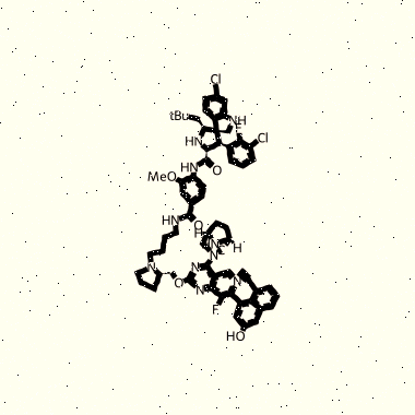 C#Cc1cccc2cc(O)cc(-c3ncc4c(N5C[C@H]6CC[C@@H](C5)N6)nc(OC[C@@H]5CCCN5CCCCNC(=O)c5ccc(NC(=O)[C@@H]6N[C@@H](CC(C)(C)C)[C@@]7(CNc8cc(Cl)ccc87)[C@H]6c6cccc(Cl)c6F)c(OC)c5)nc4c3F)c12